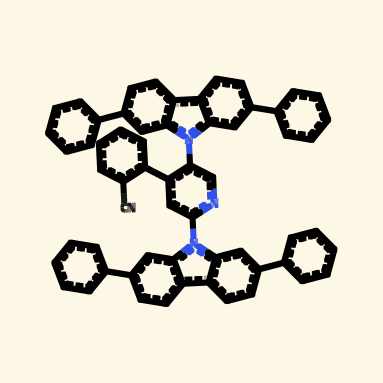 N#Cc1ccccc1-c1cc(-n2c3cc(-c4ccccc4)ccc3c3ccc(-c4ccccc4)cc32)ncc1-n1c2cc(-c3ccccc3)ccc2c2ccc(-c3ccccc3)cc21